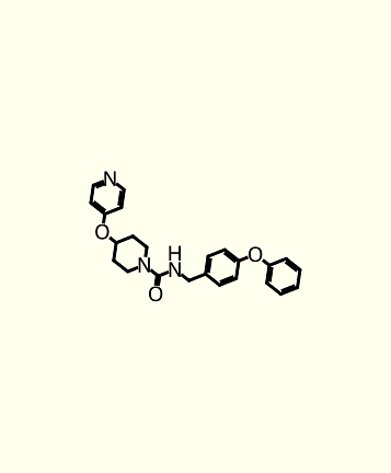 O=C(NCc1ccc(Oc2ccccc2)cc1)N1CCC(Oc2ccncc2)CC1